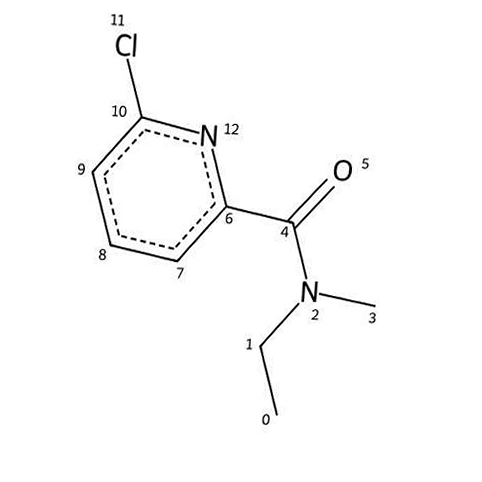 CCN(C)C(=O)c1cccc(Cl)n1